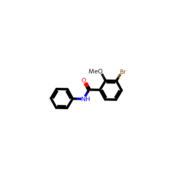 COc1c(Br)cccc1C(=O)Nc1ccccc1